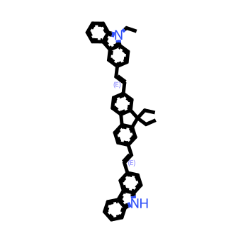 CCn1c2ccccc2c2cc(/C=C/c3ccc4c(c3)C(CC)(CC)c3cc(/C=C/c5ccc6[nH]c7ccccc7c6c5)ccc3-4)ccc21